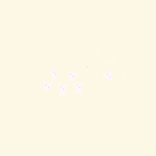 CC(C)n1ccnc1Nc1nc2cc(C(=O)O)c(N3CCOCC3)cc2[nH]1